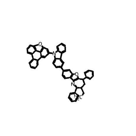 CCC1CC(c2ccccc2)c2oc3cc(-c4ccc5c(c4)c4ccccc4n5-c4cc5oc6cccc7c8ccccc8c(c4)c5c67)ccc3c2N=C1c1ccccc1